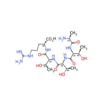 C[C@H](N)C(=O)N[C@H](C(=O)N[C@H](C(=O)N[C@H](C(=O)N[C@@H](CCCNC(=N)N)C(=O)O)[C@@H](C)O)[C@@H](C)O)[C@@H](C)O